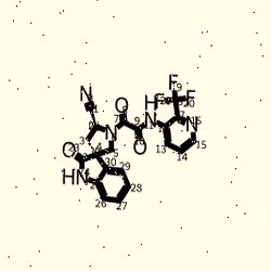 N#C[C@@H]1C[C@@]2(CN1C(=O)C(=O)Nc1cccnc1C(F)(F)F)C(=O)Nc1ccccc12